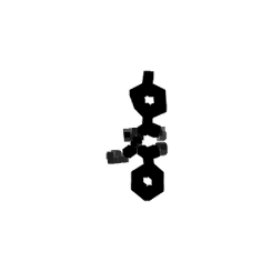 Cc1ccc(C(=S)NN(C(=O)c2ccccc2)C(C)(C)C)cc1